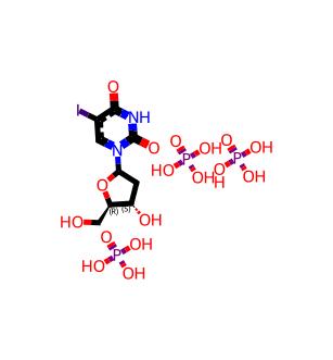 O=P(O)(O)O.O=P(O)(O)O.O=P(O)(O)O.O=c1[nH]c(=O)n(C2C[C@H](O)[C@@H](CO)O2)cc1I